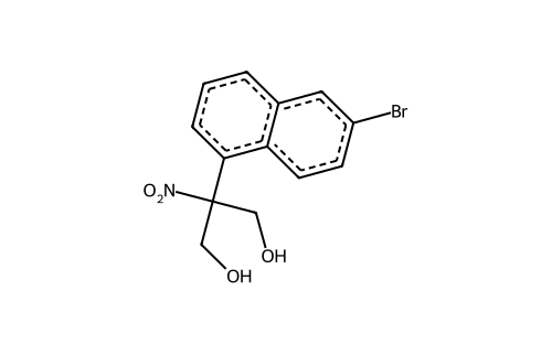 O=[N+]([O-])C(CO)(CO)c1cccc2cc(Br)ccc12